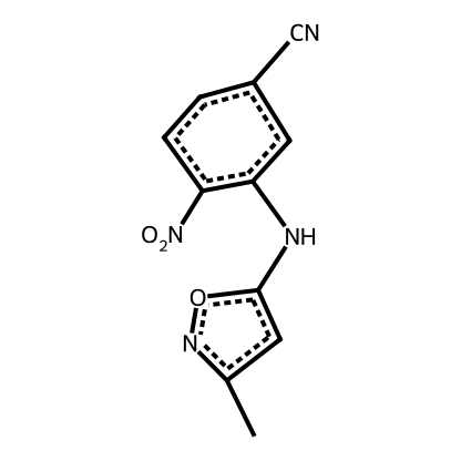 Cc1cc(Nc2cc(C#N)ccc2[N+](=O)[O-])on1